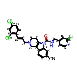 N#Cc1ccc2c3c(n(C(=O)NCc4ccnc(Cl)c4)c2c1)CCN(C/C=C/c1ccc(Cl)cc1Cl)C3